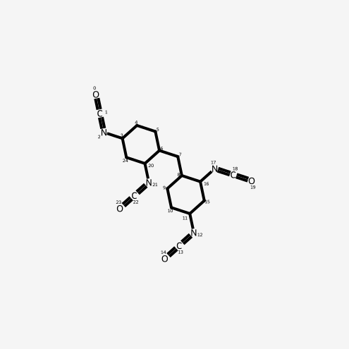 O=C=NC1CCC(CC2CCC(N=C=O)CC2N=C=O)C(N=C=O)C1